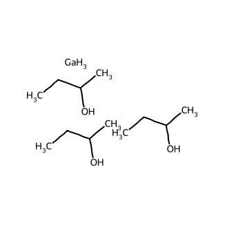 CCC(C)O.CCC(C)O.CCC(C)O.[GaH3]